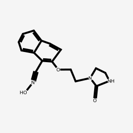 O=C1NCCN1CCOc1ccc2ccccc2c1C#[N+]O